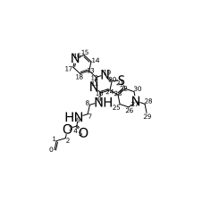 C=CCOC(=O)NCCNc1nc(-c2ccncc2)nc2sc3c(c12)CCN(CC)C3